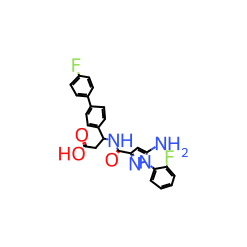 Nc1cc(C(=O)NC(CC(=O)O)c2ccc(-c3ccc(F)cc3)cc2)nn1-c1ccccc1F